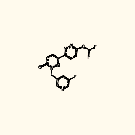 O=c1ccc(-c2ccc(OC(F)F)nn2)nn1Cc1cncc(F)c1